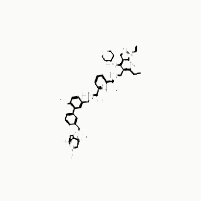 CCc1nc2c(cnn2CC)c(NC2CCOCC2)c1CNC(=O)c1cccc(C(=O)NCc2ccc(OC)c(-c3cccc(CN4C[C@H]5C[C@@H]4CN5)c3)c2)n1